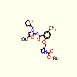 CC(C)(C)OC(=O)N1CC[C@H]1COc1ccc(C(F)(F)F)cc1C(=O)/N=c1\oc(C(C)(C)C)cn1C[C@H]1CCCO1